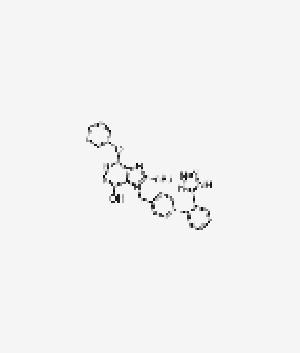 CCCCc1nc2c(Oc3ccccc3)nnc(O)c2n1Cc1ccc(-c2ccccc2-c2nnn[nH]2)cc1